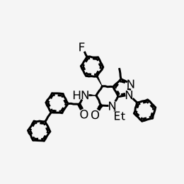 CCN1C(=O)[C@@H](NC(=O)c2cccc(-c3ccccc3)c2)[C@@H](c2ccc(F)cc2)c2c(C)nn(-c3ccccc3)c21